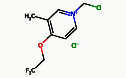 Cc1c[n+](CCl)ccc1OCC(F)(F)F.[Cl-]